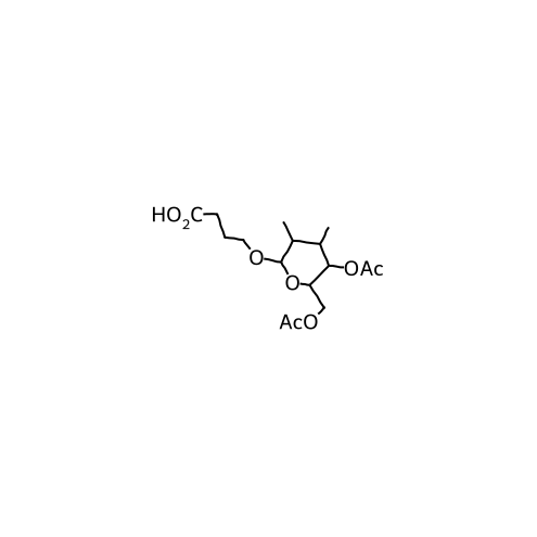 CC(=O)OCC1OC(OCCCC(=O)O)C(C)C(C)C1OC(C)=O